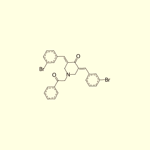 O=C1/C(=C/c2cccc(Br)c2)CN(CC(=O)c2ccccc2)C/C1=C\c1cccc(Br)c1